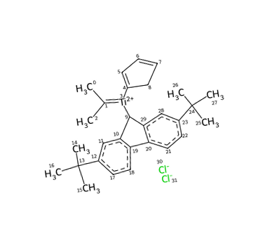 C[C](C)=[Ti+2]([C]1=CC=CC1)[CH]1c2cc(C(C)(C)C)ccc2-c2ccc(C(C)(C)C)cc21.[Cl-].[Cl-]